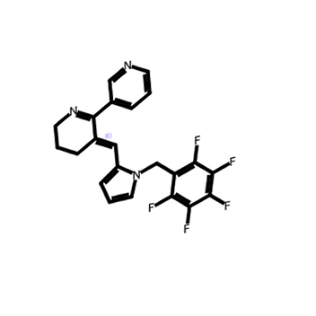 Fc1c(F)c(F)c(Cn2cccc2/C=C2\CCCN=C2c2cccnc2)c(F)c1F